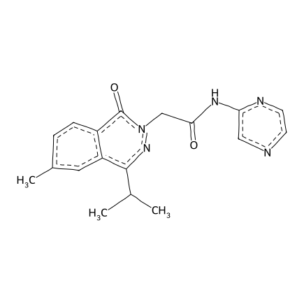 Cc1ccc2c(=O)n(CC(=O)Nc3cnccn3)nc(C(C)C)c2c1